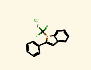 FC(F)(F)[s+]1c(-c2ccccc2)cc2ccccc21.[Cl-]